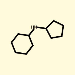 C1CC[C](NC2CCCC2)CC1